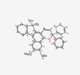 CCCC1(CC)c2ccccc2-c2c1c1c(c3cc(SC)c(SC)cc23)OC(C2=CC=CCC2)(c2ccccc2)C=C1